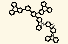 c1cc(-c2ccc(-c3ccc4c(c3)c3ccccc3n4-c3ccc4sc5ccc(-n6c7ccccc7c7ccccc76)cc5c4c3)c(-c3ccc4c5ccccc5c5ccccc5c4c3)c2)cc(-c2ccc3c4ccccc4c4ccccc4c3c2)c1